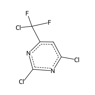 FC(F)(Cl)c1cc(Cl)nc(Cl)n1